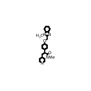 CNC(=O)C(=Cc1ccncc1)c1ccc(OCc2nc3ccccc3n2C)cc1